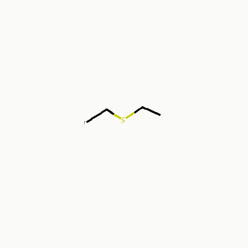 [CH]CSCC